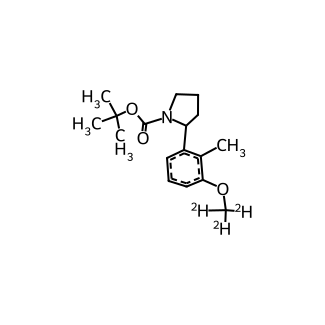 [2H]C([2H])([2H])Oc1cccc(C2CCCN2C(=O)OC(C)(C)C)c1C